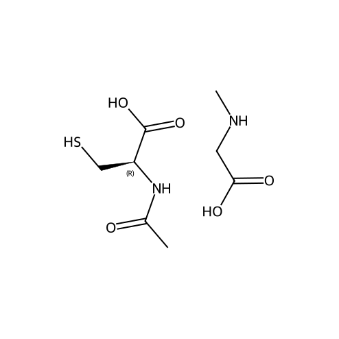 CC(=O)N[C@@H](CS)C(=O)O.CNCC(=O)O